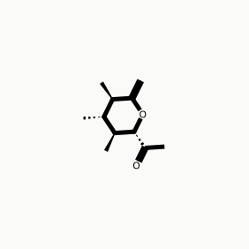 C=C1O[C@H](C(C)=O)[C@@H](C)[C@H](C)[C@H]1C